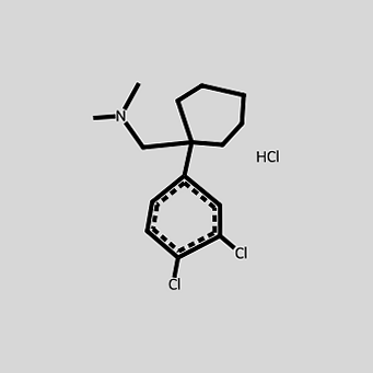 CN(C)CC1(c2ccc(Cl)c(Cl)c2)CCCCC1.Cl